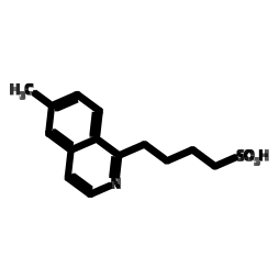 Cc1ccc2c(CCCCS(=O)(=O)O)nccc2c1